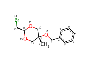 C[C@]1(OCc2ccccc2)CO[C@H](CBr)OC1